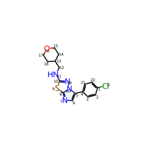 Clc1ccc(-c2cnc3sc(NCC4CCOCC4)nn23)cc1